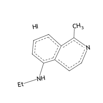 CCNc1cccc2c(C)nccc12.I